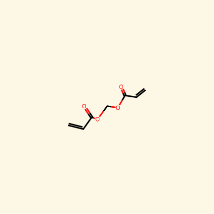 C=CC(=O)OCOC(=O)C=C